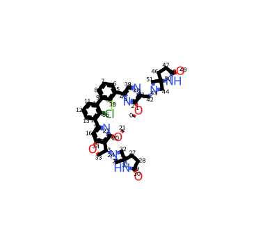 COc1nc(-c2cccc(-c3cccc(-c4cc5c(c(OC)n4)[C@@H](N4CC6(CCC(=O)N6)C4)CO5)c3Cl)c2F)cnc1CN1CC2(CCC(=O)N2)C1